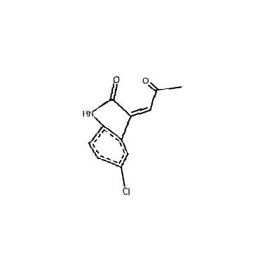 CC(=O)C=C1C(=O)Nc2ccc(Cl)cc21